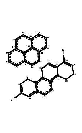 IC1=CCc2c3c(ccc2=C1)=C1CCC=C(I)C1=CC3.c1cc2ccc3cccc4ccc(c1)c2c34